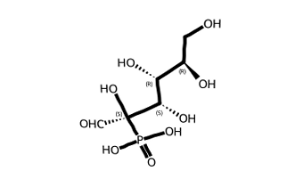 O=C[C@](O)([C@@H](O)[C@H](O)[C@H](O)CO)P(=O)(O)O